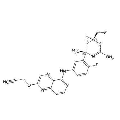 C#CCOc1cnc2c(Nc3ccc(F)c([C@@]4(C)N=C(N)S[C@@]5(CF)C=C54)c3)nccc2n1